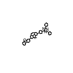 CC1(C)c2cc(-c3ccc(-c4nc(-c5ccccc5)nc(-c5ccccc5)n4)cc3)cc3ccc4cc(-c5ccc6c(c5)oc5ccccc56)cc1c4c23